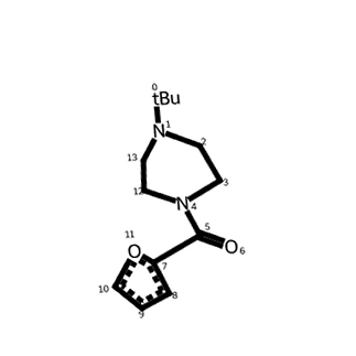 CC(C)(C)N1CCN(C(=O)c2ccco2)CC1